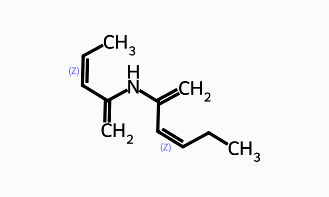 C=C(/C=C\C)NC(=C)/C=C\CC